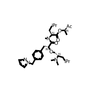 CC(=O)[C@@H](C)OC(=O)[C@H](CC(C)C)N(C)C(=O)[C@@H](Cc1ccc(Cn2cccn2)cc1)OC[C@H](CC(C)C)N(C)C